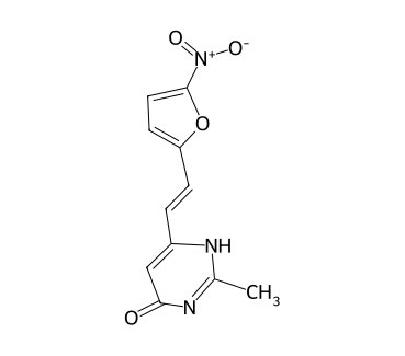 Cc1nc(=O)cc(/C=C/c2ccc([N+](=O)[O-])o2)[nH]1